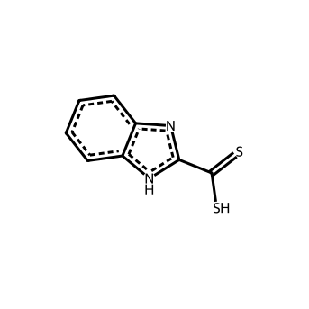 S=C(S)c1nc2ccccc2[nH]1